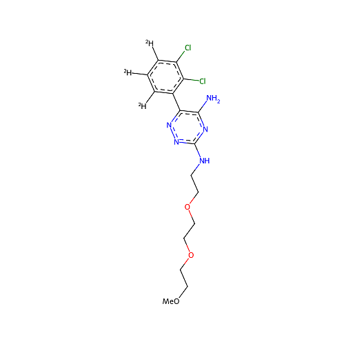 [2H]c1c([2H])c(Cl)c(Cl)c(-c2nnc(NCCOCCOCCOC)nc2N)c1[2H]